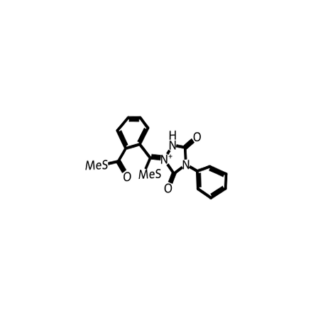 CSC(=O)c1ccccc1/C(SC)=[N+]1\NC(=O)N(c2ccccc2)C1=O